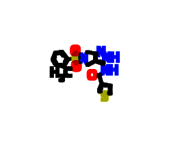 Cc1ccccc1S(=O)(=O)N1Cc2n[nH]c(NC(=O)c3ccsc3)c2C1